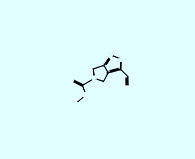 C=Cc1[nH]nc2c1CN(C(=O)OC(C)(C)C)C2